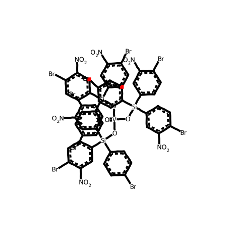 O=[N+]([O-])c1cc([Si]([O][V](=[O])([O][Si](c2ccc(Br)cc2)(c2ccc(Br)c([N+](=O)[O-])c2)c2ccc(Br)c([N+](=O)[O-])c2)[O][Si](c2ccc(Br)cc2)(c2ccc(Br)c([N+](=O)[O-])c2)c2ccc(Br)c([N+](=O)[O-])c2)(c2ccc(Br)cc2)c2ccc(Br)c([N+](=O)[O-])c2)ccc1Br